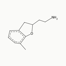 Cc1cccc2c1OC(CCN)C2